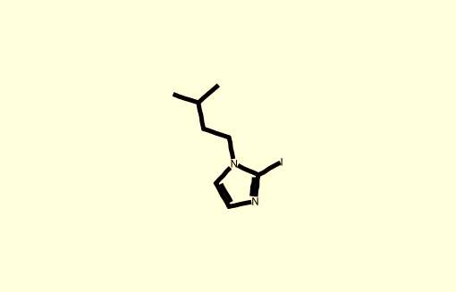 CC(C)CCn1ccnc1I